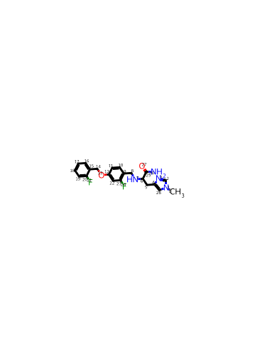 Cn1cnc(CC(NCc2ccc(OCc3ccccc3F)cc2F)C(N)=O)c1